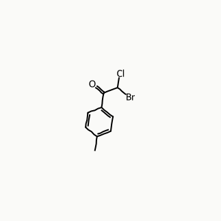 Cc1ccc(C(=O)C(Cl)Br)cc1